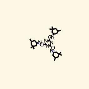 CC1CC(=NOc2nc(O/N=C3/CC(C)CC(C)(C)C3)nc(O/N=C3/CC(C)CC(C)(C)C3)n2)CC(C)(C)C1